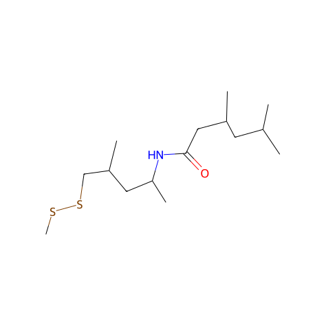 CSSCC(C)CC(C)NC(=O)CC(C)CC(C)C